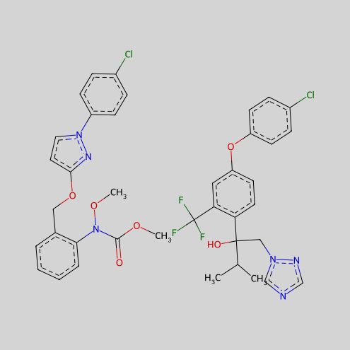 CC(C)C(O)(Cn1cncn1)c1ccc(Oc2ccc(Cl)cc2)cc1C(F)(F)F.COC(=O)N(OC)c1ccccc1COc1ccn(-c2ccc(Cl)cc2)n1